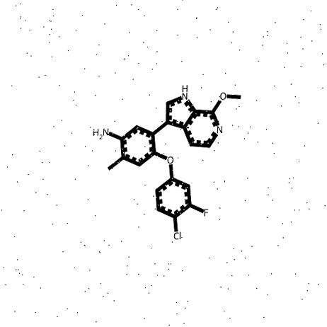 COc1nccc2c(-c3cc(N)c(C)cc3Oc3ccc(Cl)c(F)c3)c[nH]c12